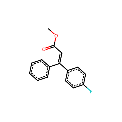 COC(=O)/C=C(\c1ccccc1)c1ccc(F)cc1